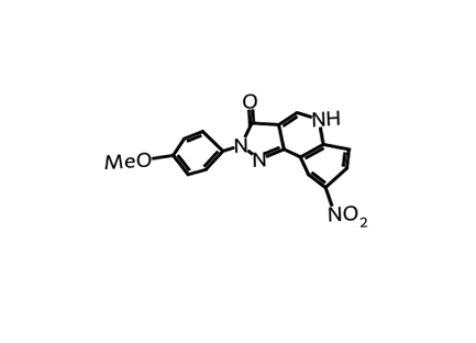 COc1ccc(-n2nc3c4cc([N+](=O)[O-])ccc4[nH]cc-3c2=O)cc1